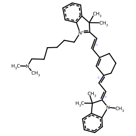 CN(C)CCCCCC[N+]1=C(/C=C/C2=CC(=C/C=C3/N(C)c4ccccc4C3(C)C)/CCC2)C(C)(C)c2ccccc21